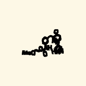 COCCOC(=O)Nc1cccc(Cc2nn(-c3cn[nH]c3)ccc2=O)c1